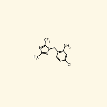 Nc1cc(Cl)ccc1Cn1nc(C(F)(F)F)nc1C(F)(F)F